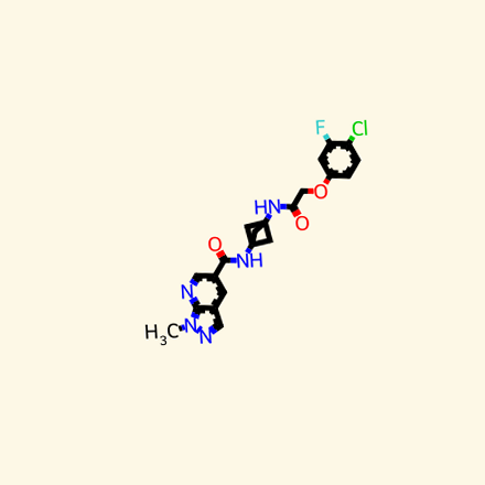 Cn1ncc2cc(C(=O)NC34CC(NC(=O)COc5ccc(Cl)c(F)c5)(C3)C4)cnc21